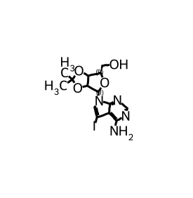 CC1(C)OC2C(O1)[C@@H](CO)O[C@H]2n1cc(I)c2c(N)ncnc21